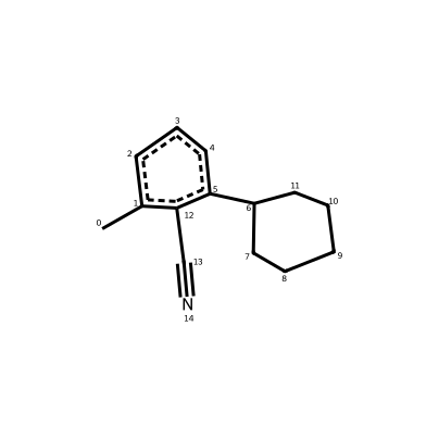 Cc1cccc(C2CCCCC2)c1C#N